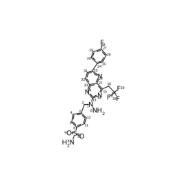 NN(Cc1ccc(S(N)(=O)=O)cc1)c1nc(CC(F)(F)F)c2nc(-c3ccc(F)cc3)ccc2n1